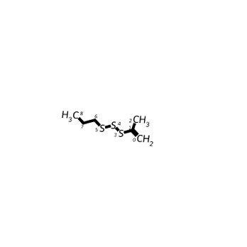 C=C(C)SSSCCC